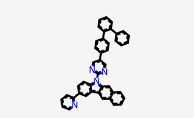 c1ccc(-c2ccccc2-c2ccc(-c3cnc(-n4c5ccc(-c6ccccn6)cc5c5cc6ccccc6cc54)nc3)cc2)cc1